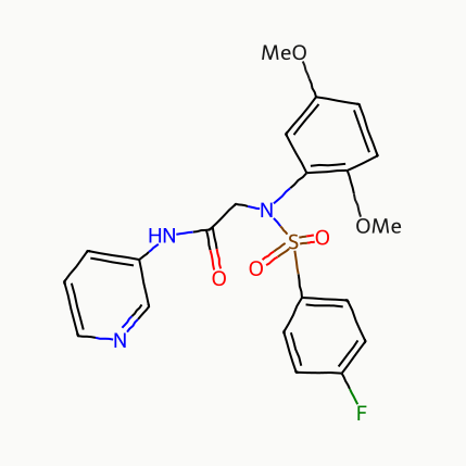 COc1ccc(OC)c(N(CC(=O)Nc2cccnc2)S(=O)(=O)c2ccc(F)cc2)c1